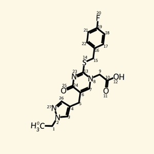 CCn1cc(Cc2cn(CC(=O)O)c(SCc3ccc(F)cc3)nc2=O)cn1